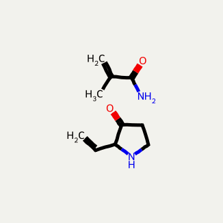 C=C(C)C(N)=O.C=CC1NCCC1=O